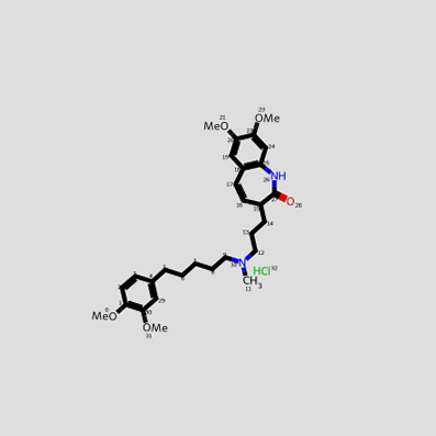 COc1ccc(CCCCCN(C)CCCC2C=Cc3cc(OC)c(OC)cc3NC2=O)cc1OC.Cl